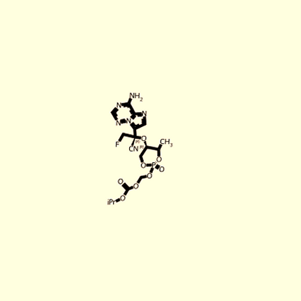 CC(C)OC(=O)OCOP1(=O)OC[C@@H](O[C@](C#N)(CF)c2cnc3c(N)ncnn23)C(C)O1